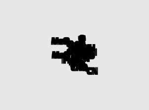 COc1ccc(C(OC[C@H]2O[C@@H](n3cnc4c(=O)[nH]c(NC(=O)COc5ccccc5)nc43)[C@@H](OCOCOCCC#N)[C@H]2OP(OCCC#N)N(C(C)C)C(C)C)(c2ccccc2)c2ccc(OC)cc2)cc1